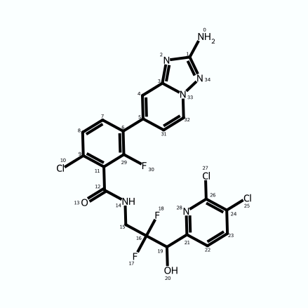 Nc1nc2cc(-c3ccc(Cl)c(C(=O)NCC(F)(F)C(O)c4ccc(Cl)c(Cl)n4)c3F)ccn2n1